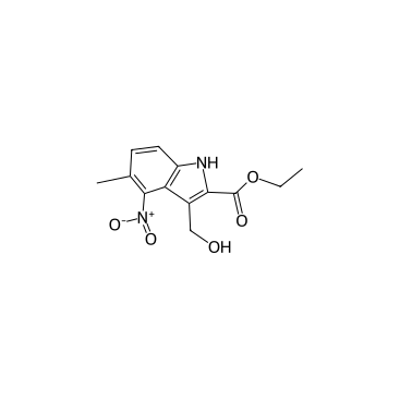 CCOC(=O)c1[nH]c2ccc(C)c([N+](=O)[O-])c2c1CO